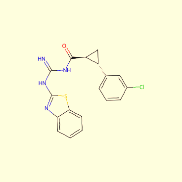 N=C(NC(=O)[C@H]1C[C@@H]1c1cccc(Cl)c1)Nc1nc2ccccc2s1